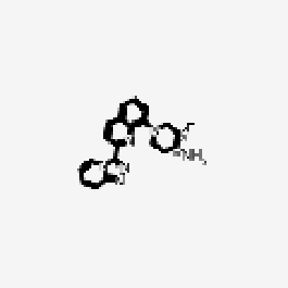 N[C@@H]1CCN(c2cccc3ccc(-c4nnc5ccccn45)nc23)C[C@@H]1F